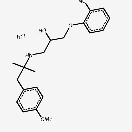 COc1ccc(CC(C)(C)NCC(O)COc2ccccc2C#N)cc1.Cl